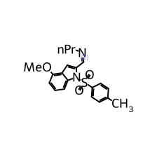 CCC/N=C\c1cc2c(OC)cccc2n1S(=O)(=O)c1ccc(C)cc1